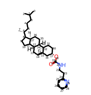 CC(C)CCC[C@@H](C)C1CCC2[C@@H]3CC=C4C[C@@H](OC(=O)NCCc5ccccn5)CC[C@]4(C)[C@H]3CC[C@]12C